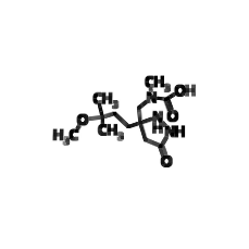 COC(C)(C)CCC1(CN(C)C(=O)O)CC(=O)NN1